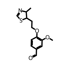 COc1cc(C=O)ccc1OCCC1SC=NC1C